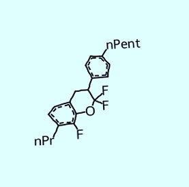 CCCCCc1ccc(C2Cc3ccc(CCC)c(F)c3OC2(F)F)cc1